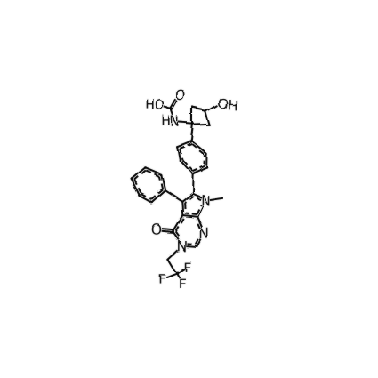 Cn1c(-c2ccc(C3(NC(=O)O)CC(O)C3)cc2)c(-c2ccccc2)c2c(=O)n(CC(F)(F)F)cnc21